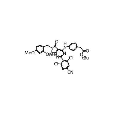 COc1ccc(CN2Cc3nc(-c4c(Cl)cc(C#N)cc4Cl)nc(Nc4ccc(CC(=O)OC(C)(C)C)cc4)c3C2=O)c(OC)c1